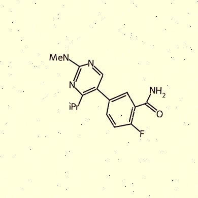 CNc1ncc(-c2ccc(F)c(C(N)=O)c2)c(C(C)C)n1